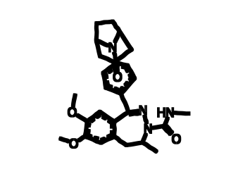 CNC(=O)N1N=C(c2ccc(N3C4CCC3CC(=O)C4)cc2)c2cc(OC)c(OC)cc2CC1C